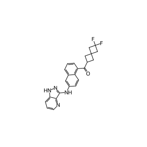 O=C(c1cccc2cc(Nc3n[nH]c4cccnc34)ccc12)C1CC2(C1)CC(F)(F)C2